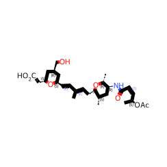 CC(=O)O[C@@H](C)/C=C\C(=O)N[C@@H]1C[C@H](C)[C@H](C/C=C(C)/C=C/[C@@H]2C[C@H](CO)C[C@@H](CC(=O)O)O2)O[C@@H]1C